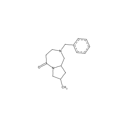 CC1CC2CN(Cc3ccccc3)CCC(=O)N2C1